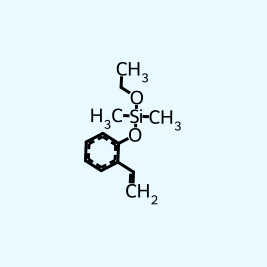 C=Cc1ccccc1O[Si](C)(C)OCC